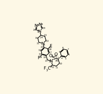 O=S1(=O)[C@@H](c2ccccc2)CCC(C(F)(F)F)N1Cc1cc(F)c(N2CCC(n3cnnc3)CC2)cc1F